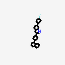 Fc1ccc(-c2ccc3cc(-c4ccc(-c5cccc6ccccc56)cc4)cnc3c2)cc1